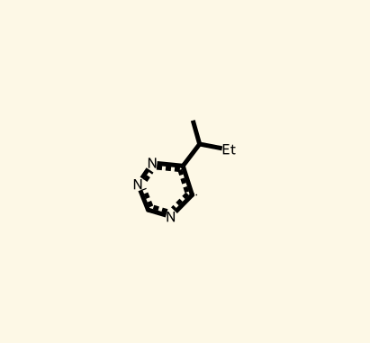 CCC(C)c1[c]ncnn1